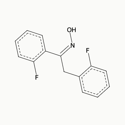 ON=C(Cc1ccccc1F)c1ccccc1F